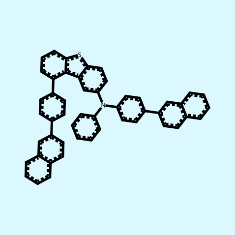 c1ccc(N(c2ccc(-c3ccc4ccccc4c3)cc2)c2ccc3sc4cccc(-c5ccc(-c6ccc7ccccc7c6)cc5)c4c3c2)cc1